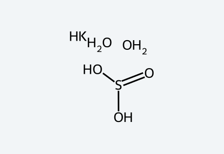 O.O.O=S(O)O.[KH]